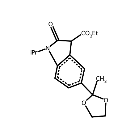 CCOC(=O)C1C(=O)N(C(C)C)c2ccc(C3(C)OCCO3)cc21